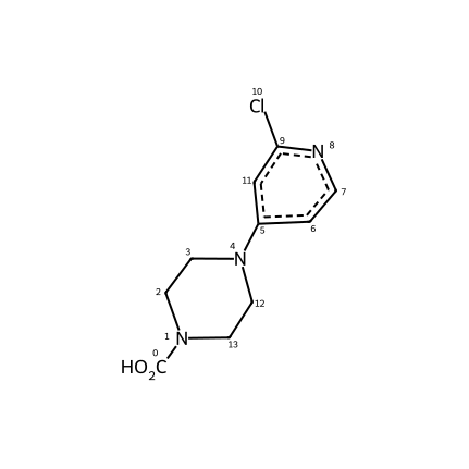 O=C(O)N1CCN(c2ccnc(Cl)c2)CC1